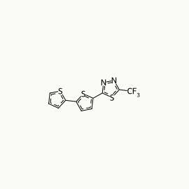 FC(F)(F)c1nnc(-c2ccc(-c3cccs3)s2)s1